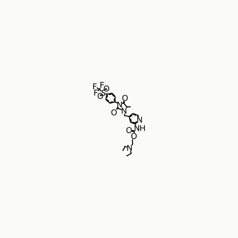 CCN(CC)CCOC(=O)Nc1cc(CN2C(=O)N(c3ccc(S(=O)(=O)C(F)(F)F)cc3)C(=O)C2C)ccn1